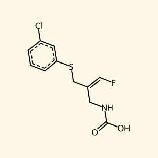 O=C(O)NCC(=CF)CSc1cccc(Cl)c1